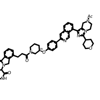 CC(=O)N1CCn2c(C3CCOCC3)nc(-c3cccc4cc(-c5ccc(O[C@@H]6CCCN(C(=O)CCc7cccc8c7CN(C7CCC(=O)NC7=O)C8=O)C6)cc5)ncc34)c2C1